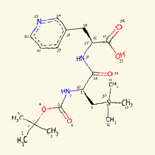 CC(C)(C)OC(=O)N[C@H](C[Si](C)(C)C)C(=O)N[C@@H](Cc1cccnc1)C(=O)O